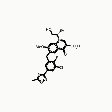 COc1cc2c(cc1Cc1cc(-c3noc(C)n3)cc(Cl)c1F)c(=O)c(C(=O)O)cn2[C@H](CO)C(C)C